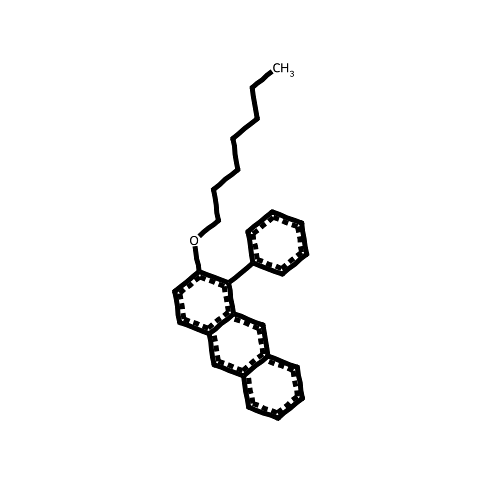 CCCCCCCOc1ccc2cc3ccccc3cc2c1-c1ccccc1